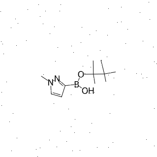 Cn1ccc(B(O)OC(C)(C)C(C)(C)C)n1